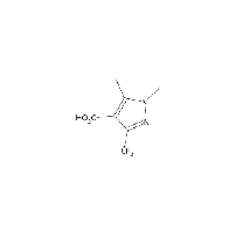 Cc1c(C(=O)O)c(C(F)(F)F)nn1C